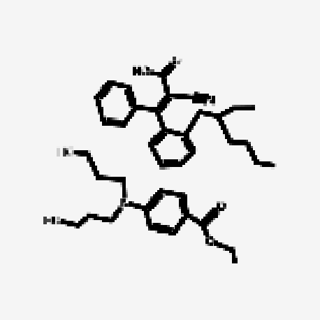 CCCCC(CC)Cc1ccccc1C(=C(C#N)C(=O)O)c1ccccc1.CCOC(=O)c1ccc(N(CCCO)CCCO)cc1